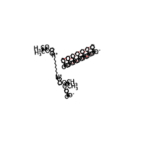 CN(C)C(=O)Oc1cccc2c[n+](CCCCCCCCCC[n+]3ccc4c(OC(=O)N(C)C)cccc4c3)ccc12.[O-]B([O-])c1ccccc1.[O-]B([O-])c1ccccc1.[O-]B([O-])c1ccccc1.[O-]B([O-])c1ccccc1.[O-]B([O-])c1ccccc1.[O-]B([O-])c1ccccc1.[O-]B([O-])c1ccccc1.[O-]B([O-])c1ccccc1